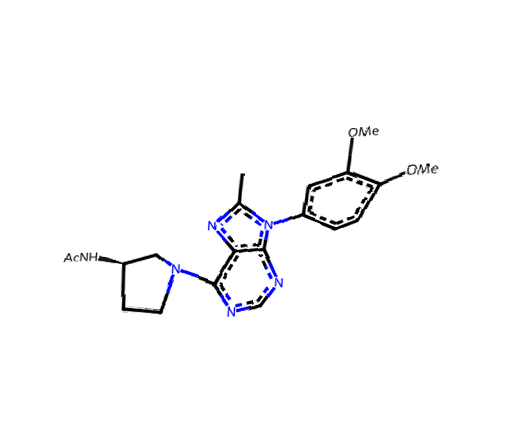 COc1ccc(-n2c(C)nc3c(N4CC[C@@H](NC(C)=O)C4)ncnc32)cc1OC